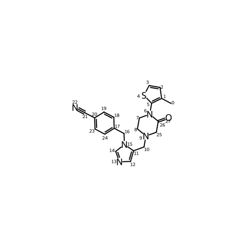 Cc1ccsc1N1CCN(Cc2cncn2Cc2ccc(C#N)cc2)CC1=O